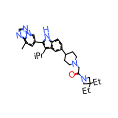 CCC1(CC)CN(C(=O)CN2CCC(c3ccc4[nH]c(-c5cc(C)c6ncnn6c5)c(C(C)C)c4c3)CC2)C1